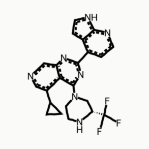 FC(F)(F)[C@H]1CN(c2nc(-c3ccnc4[nH]ccc34)nc3cncc(C4CC4)c23)CCN1